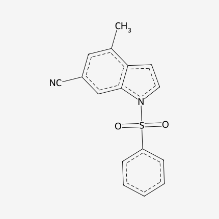 Cc1cc(C#N)cc2c1ccn2S(=O)(=O)c1ccccc1